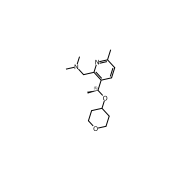 Cc1ccc([C@H](C)OC2CCOCC2)c(CN(C)C)n1